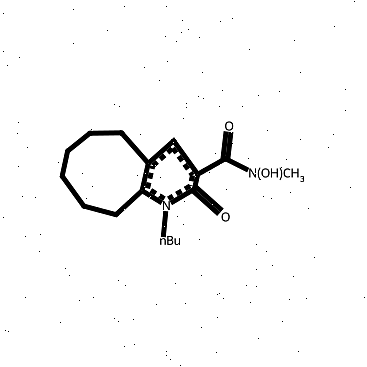 CCCCn1c2c(cc(C(=O)N(C)O)c1=O)CCCCCC2